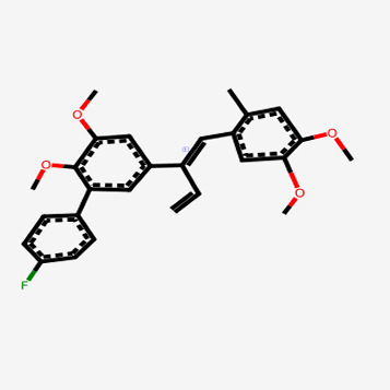 C=C/C(=C\c1cc(OC)c(OC)cc1C)c1cc(OC)c(OC)c(-c2ccc(F)cc2)c1